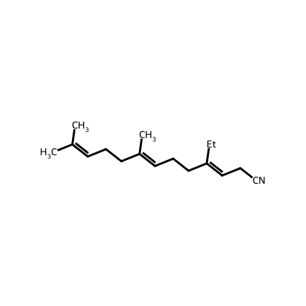 CC/C(=C\CC#N)CC/C=C(\C)CCC=C(C)C